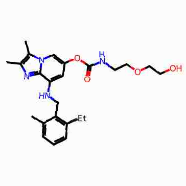 CCc1cccc(C)c1CNc1cc(OC(=O)NCCOCCO)cn2c(C)c(C)nc12